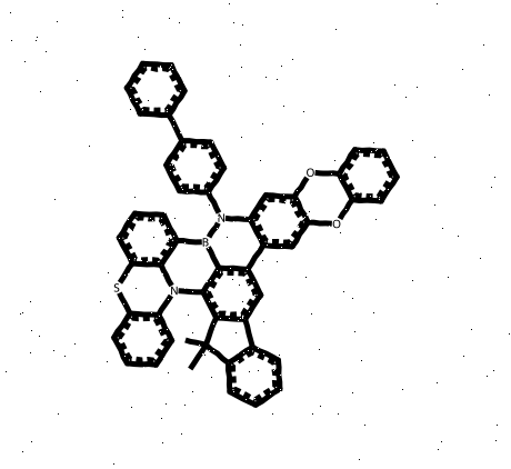 CC1(C)c2ccccc2-c2cc3c4c(c21)N1c2ccccc2Sc2cccc(c21)B4N(c1ccc(-c2ccccc2)cc1)c1cc2c(cc1-3)Oc1ccccc1O2